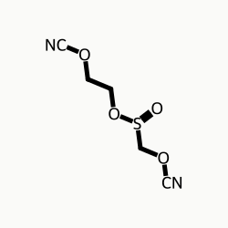 N#COCCOS(=O)COC#N